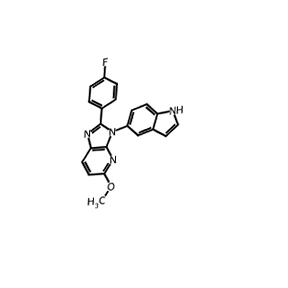 COc1ccc2nc(-c3ccc(F)cc3)n(-c3ccc4[nH]ccc4c3)c2n1